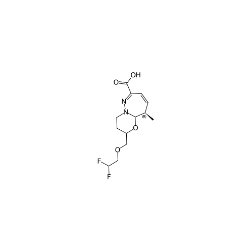 C[C@@H]1C=CC(C(=O)O)=NN2CCC(COCC(F)F)OC12